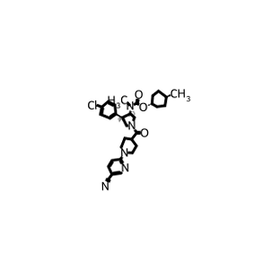 CN(C(=O)O[C@H]1CC[C@H](C)CC1)[C@@H]1CN(C(=O)C2CCN(c3ccc(C#N)cn3)CC2)C[C@H]1c1ccc(Cl)cc1